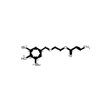 CC=CC(=O)OCCOCc1cc(C(C)(C)C)c(O)c(C(C)(C)C)c1